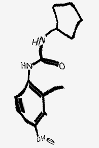 COc1ccc(NC(=O)NC2CCCC2)c(C)c1